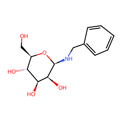 OC[C@H]1O[C@@H](NCc2ccccc2)[C@@H](O)[C@@H](O)[C@@H]1O